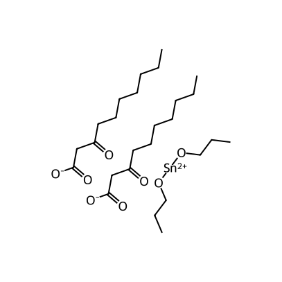 CCCCCCCC(=O)CC(=O)[O-].CCCCCCCC(=O)CC(=O)[O-].CCC[O][Sn+2][O]CCC